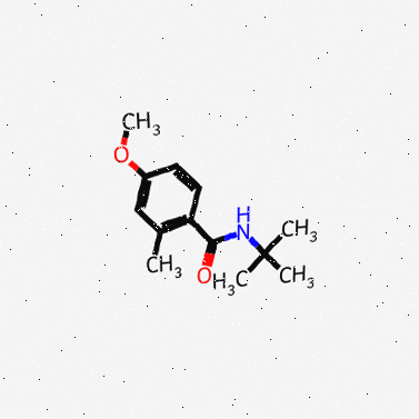 COc1ccc(C(=O)NC(C)(C)C)c(C)c1